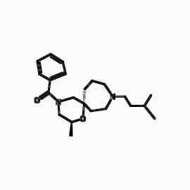 CC(C)CCN1CCC[C@@]2(CC1)CN(C(=O)c1ccccc1)C[C@H](C)O2